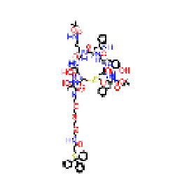 C[C@@H](O)[C@H](NC(=O)[C@@H]1CSSC[C@H](NC(=O)[C@@H](Cc2ccccc2)NC(=O)OC(C)(C)C)C(=O)N[C@@H](Cc2ccc(O)cc2)C(=O)N[C@H](Cc2c[nH]c3ccccc23)C(=O)N[C@@H](CCCCNC(=O)OC(C)(C)C)C(=O)N[C@@H]([C@@H](C)O)C(=O)N1)C(=O)NCCOCCOCCOCCNC(=O)CCSC(c1ccccc1)(c1ccccc1)c1ccccc1